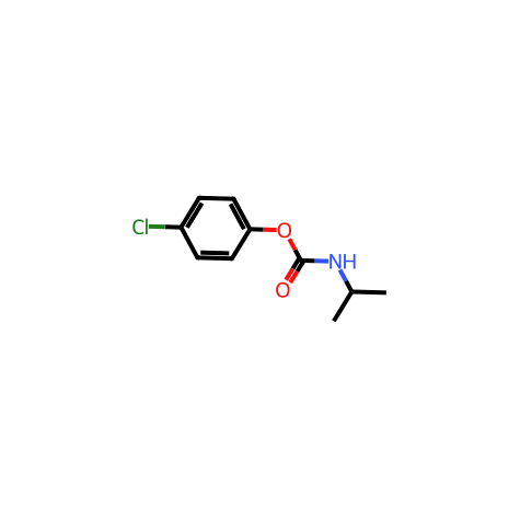 CC(C)NC(=O)Oc1ccc(Cl)cc1